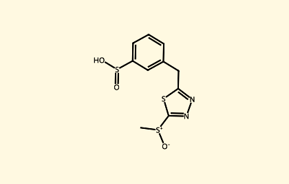 C[S+]([O-])c1nnc(Cc2cccc(S(=O)O)c2)s1